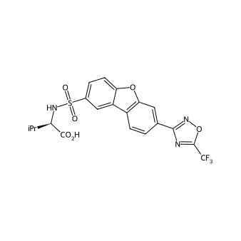 CC(C)[C@@H](NS(=O)(=O)c1ccc2oc3cc(-c4noc(C(F)(F)F)n4)ccc3c2c1)C(=O)O